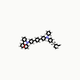 C=C/C=C(\C=C/C)[Si](C)(C)c1ccc(N(c2ccccc2)c2ccc(-c3ccc(-c4ccc(N(c5ccccc5)c5ccccc5-c5ccccc5)cc4)cc3)cc2)cc1